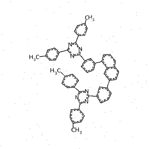 Cc1ccc(-c2nc(-c3ccc(C)cc3)nc(-c3cccc(-c4ccc5cccc(-c6cccc(-c7nc(-c8ccc(C)cc8)nc(-c8ccc(C)cc8)n7)c6)c5c4)c3)n2)cc1